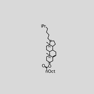 CCCCCCCCC(=O)O[C@H]1CC[C@@]2(C)C(=CCC3C2CC[C@@]2(C)C3CC[C@@H]2CCCCC(C)C)C1